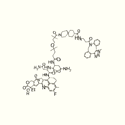 CCC1(O)C(=O)OCc2c1cc1n(c2=O)Cc2c-1nc1cc(F)c(C)c3c1c2C(NC(=O)C(CC(N)=O)NC(=O)C(CC(N)=O)NC(=O)CCC(C)(C)OCCC(C)(C)C(=O)N1CCC2(CCC(C(=O)NCCC(=O)N4Cc5ccccc5-c5nnn(C)c5-c5ccccc54)CC2)CC1)CC3